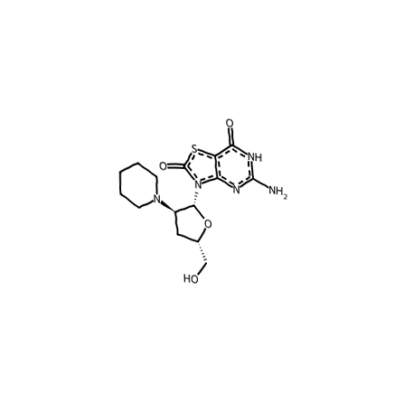 Nc1nc2c(sc(=O)n2[C@@H]2O[C@H](CO)C[C@H]2N2CCCCC2)c(=O)[nH]1